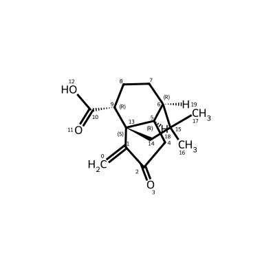 C=C1C(=O)C[C@@H]2[C@H]3CC[C@@H](C(=O)O)[C@@]12CC3(C)C